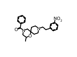 CC1CN(C(=O)c2ccccc2)CC2(CCN(CCc3cccc([N+](=O)[O-])c3)CC2)O1